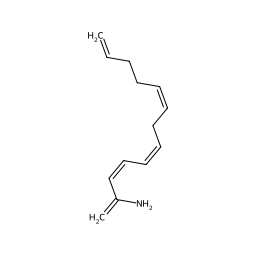 C=CCC/C=C\C/C=C\C=C/C(=C)N